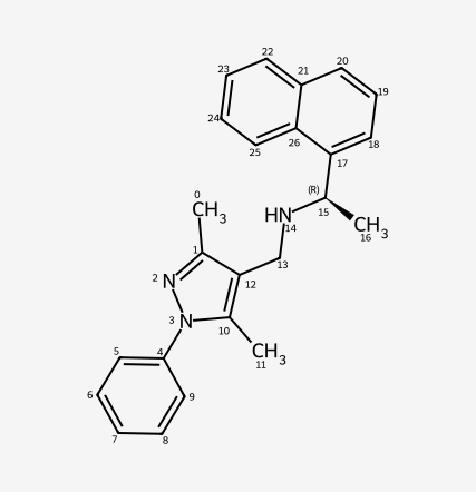 Cc1nn(-c2ccccc2)c(C)c1CN[C@H](C)c1cccc2ccccc12